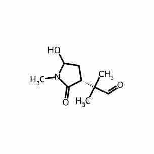 CN1C(=O)[C@@H](C(C)(C)C=O)CC1O